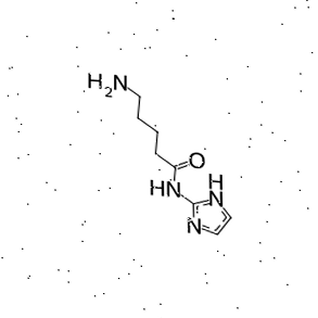 NCCCCC(=O)Nc1ncc[nH]1